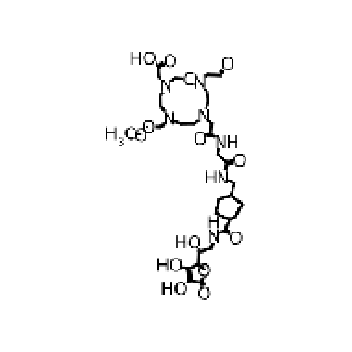 COOCN1CCN(CC(=O)O)CCN(CC=O)CCN(CC(=O)NCC(=O)NCC2CCC(C(=O)NCC(O)C3OC(=O)C(O)=C3O)CC2)CC1